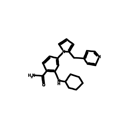 NC(=O)c1ccc(-n2cccc2Cc2ccncc2)cc1NC1CCCCC1